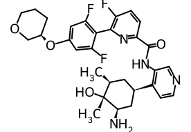 C[C@H]1C[C@@H](c2ccncc2NC(=O)c2ccc(F)c(-c3c(F)cc(O[C@@H]4CCCOC4)cc3F)n2)C[C@@H](N)[C@]1(C)O